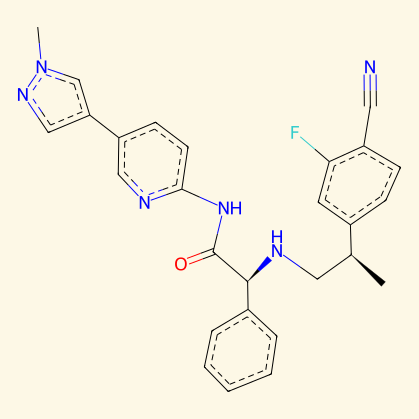 C[C@@H](CN[C@H](C(=O)Nc1ccc(-c2cnn(C)c2)cn1)c1ccccc1)c1ccc(C#N)c(F)c1